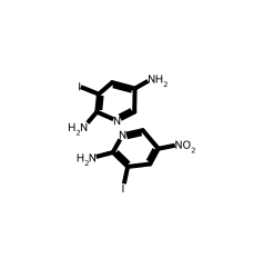 Nc1cnc(N)c(I)c1.Nc1ncc([N+](=O)[O-])cc1I